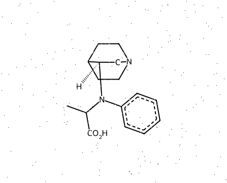 CC(C(=O)O)N(c1ccccc1)[C@@H]1CN2CCC1CC2